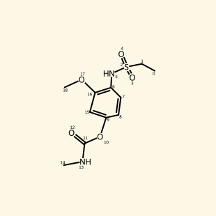 CCS(=O)(=O)Nc1ccc(OC(=O)NC)cc1OC